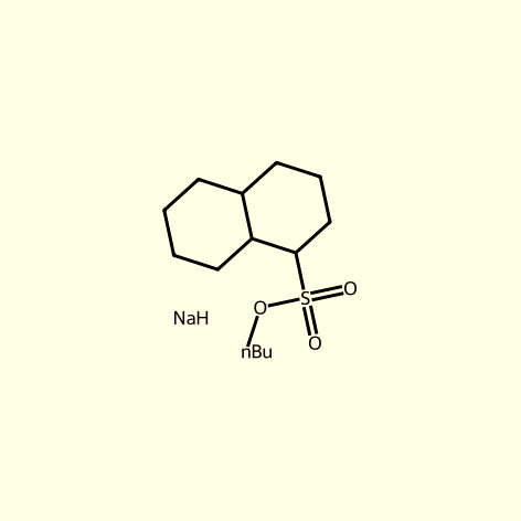 CCCCOS(=O)(=O)C1CCCC2CCCCC21.[NaH]